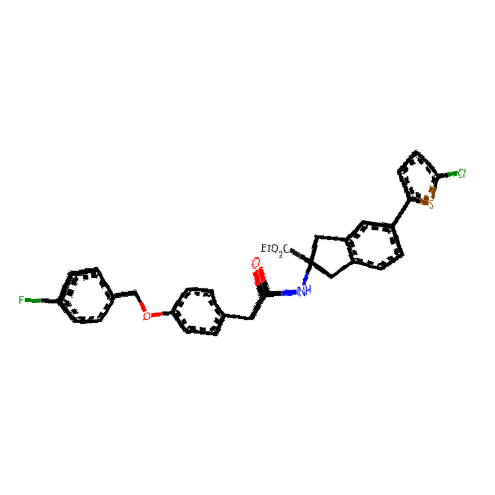 CCOC(=O)C1(NC(=O)Cc2ccc(OCc3ccc(F)cc3)cc2)Cc2ccc(-c3ccc(Cl)s3)cc2C1